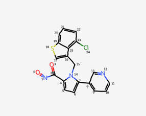 O=NC(=O)c1ccc(-c2cccnc2)n1Cc1csc2cccc(Cl)c12